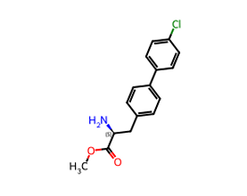 COC(=O)[C@@H](N)Cc1ccc(-c2ccc(Cl)cc2)cc1